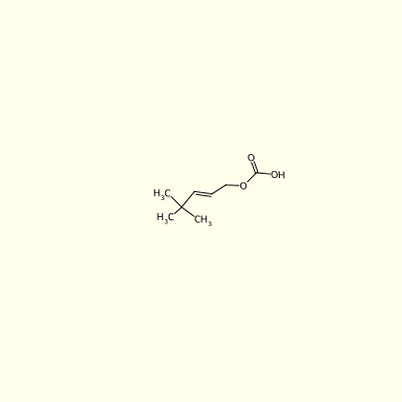 CC(C)(C)C=CCOC(=O)O